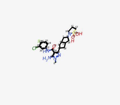 Cn1nc(C2CC3CC(N4CCCS4(O)O)CC3C2)c(C(=O)Nc2ccc(F)c(Cl)c2)c1N